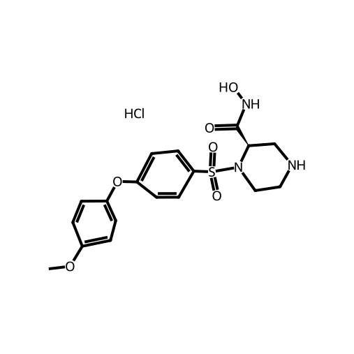 COc1ccc(Oc2ccc(S(=O)(=O)N3CCNC[C@@H]3C(=O)NO)cc2)cc1.Cl